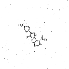 CCNc1ncnc2sc3c(=O)n(-c4ccc(C)cc4)cnc3c12